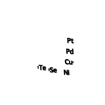 [Cu].[Ni].[Pd].[Pt].[Se].[Te]